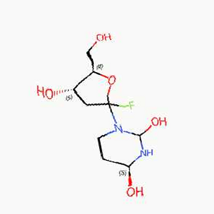 OC[C@H]1OC(F)(N2CC[C@H](O)NC2O)C[C@@H]1O